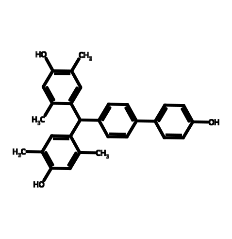 Cc1cc(C(c2ccc(-c3ccc(O)cc3)cc2)c2cc(C)c(O)cc2C)c(C)cc1O